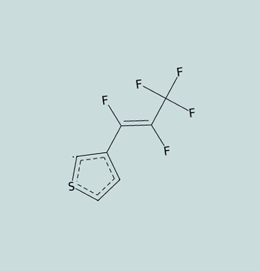 FC(=C(F)C(F)(F)F)c1[c]scc1